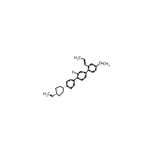 C=C[C@H]1CC[C@H](c2ccc(-c3ccc(-c4ccc(OC)cc4C=CC)cc3F)cc2)CC1